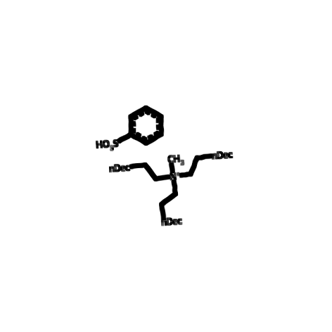 CCCCCCCCCCCC[N+](C)(CCCCCCCCCCCC)CCCCCCCCCCCC.O=S(=O)(O)c1ccccc1